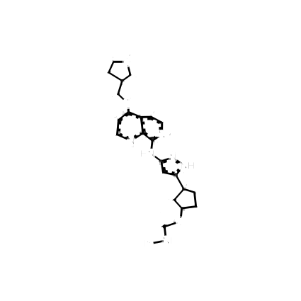 CC(C)NC(=O)OC1CCC(c2cc(Nc3nccc4c(OCC5CCOC5)ccnc34)n[nH]2)C1